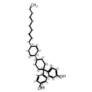 CCCCCCCCCC[C@H]1CC[C@@H](C2CCC(c3ccc(O)cc3)(c3ccc(O)cc3)CC2)CC1